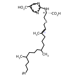 C/C(=C\CSC[C@H](Nc1ncc(C(=O)O)cn1)C(=O)O)CCCC(C)CCCC(C)CCCC(C)C